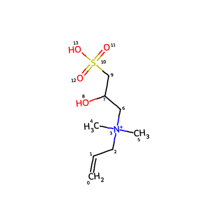 C=CC[N+](C)(C)CC(O)CS(=O)(=O)O